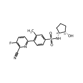 Cc1cc(S(=O)(=O)N[C@@H]2CCC[C@@H]2O)ccc1-c1ccc(F)c(C#N)n1